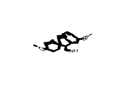 COC1CCC2(CC1)Cc1ccc(Br)cc1C2C=N